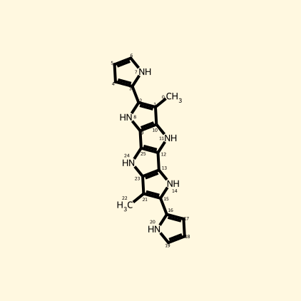 Cc1c(-c2ccc[nH]2)[nH]c2c1[nH]c1c3[nH]c(-c4ccc[nH]4)c(C)c3[nH]c21